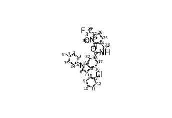 Cc1ccc(-n2cc(-c3ccccc3Cl)c3ccc(C(=O)N[C@H](C)c4ccc(C(F)(F)F)[n+]([O-])c4)cc32)cc1